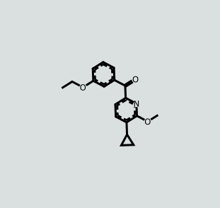 CCOc1cccc(C(=O)c2ccc(C3CC3)c(OC)n2)c1